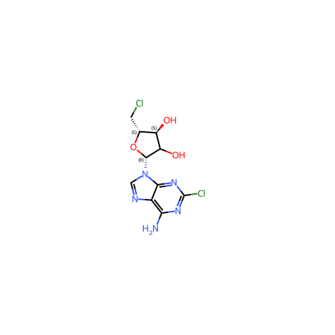 Nc1nc(Cl)nc2c1ncn2[C@@H]1O[C@H](CCl)[C@@H](O)C1O